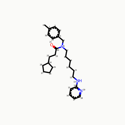 Cc1ccc(CN(CCCCCCNc2ccccn2)C(=O)CCC2CCCC2)cc1